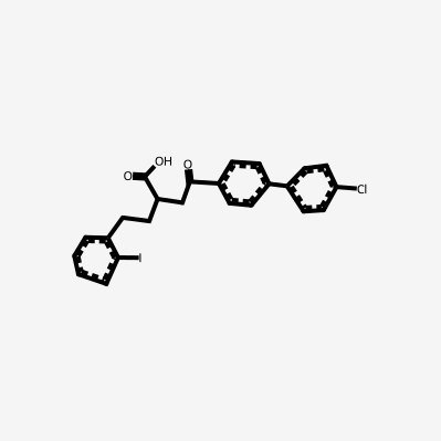 O=C(CC(CCc1ccccc1I)C(=O)O)c1ccc(-c2ccc(Cl)cc2)cc1